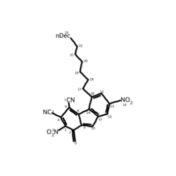 C=c1c([N+](=O)[O-])c(C#N)c(C#N)c2c1=Cc1cc([N+](=O)[O-])cc(CCCCCCCCCCCCCCCC)c1-2